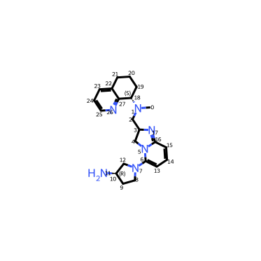 CN(CC1CN2C(N3CC[C@@H](N)C3)=CC=CC2=N1)[C@H]1CCCc2cccnc21